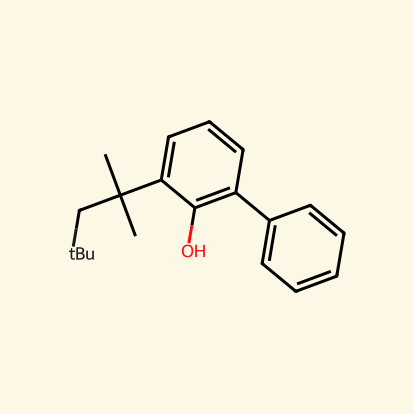 CC(C)(C)CC(C)(C)c1cccc(-c2ccccc2)c1O